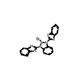 BrB1N(c2nc3ccccc3s2)c2ccccc2N1c1nc2ccccc2s1